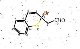 O=CCC1(Br)C=Cc2ccccc2S1